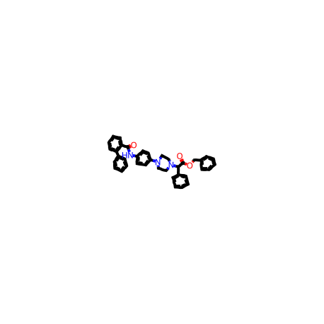 O=C(Nc1ccc(N2CCN(C(C(=O)OCc3ccccc3)c3ccccc3)CC2)cc1)c1ccccc1-c1ccccc1